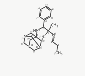 CCC=NC(C)(C)C(NC12CN3CN(CN(C3)C1)C2)c1ccccc1